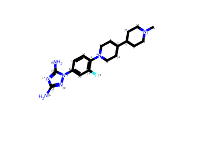 CN1CCC(C2CCN(c3ccc(-n4nc(N)nc4N)cc3F)CC2)CC1